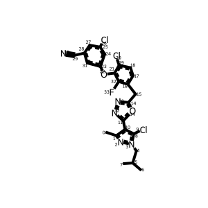 Cc1nn(CC(C)C)c(Cl)c1-c1nnc(Cc2ccc(Cl)c(Oc3cc(Cl)cc(C#N)c3)c2F)o1